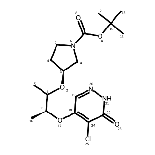 CC(O[C@H]1CCN(C(=O)OC(C)(C)C)C1)[C@H](C)Oc1cn[nH]c(=O)c1Cl